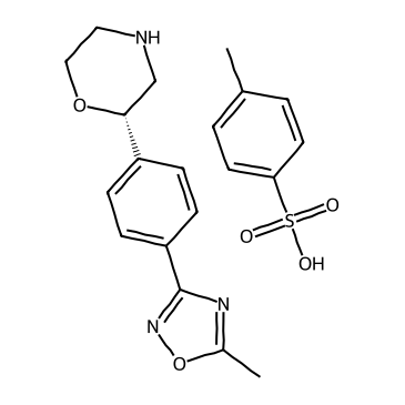 Cc1ccc(S(=O)(=O)O)cc1.Cc1nc(-c2ccc([C@H]3CNCCO3)cc2)no1